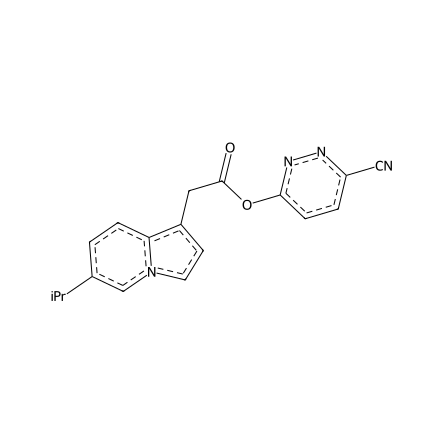 CC(C)c1ccc2c(CC(=O)Oc3ccc(C#N)nn3)ccn2c1